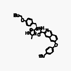 CCC(C)COc1ccc(C[C@H](NC(=O)c2cc3cc(Oc4ccc(C(C)(C)C)cc4)ccc3cn2)C2=NC(C)NO2)cc1